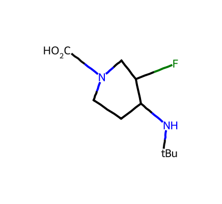 CC(C)(C)NC1CCN(C(=O)O)CC1F